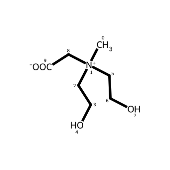 C[N+](CCO)(CCO)CC(=O)[O-]